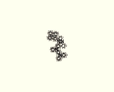 c1ccc(-c2nc3cccc(-c4ccc5c(c4)C4(c6ccccc6-c6ccccc64)c4ccccc4-5)c3nc2-c2ccc(N(c3ccccc3)c3ccc(N(c4ccccc4)c4ccccc4)cc3)cc2)cc1